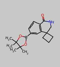 CC1(C)OB(c2ccc3c(c2)C2(CCC2)CNC3=O)OC1(C)C